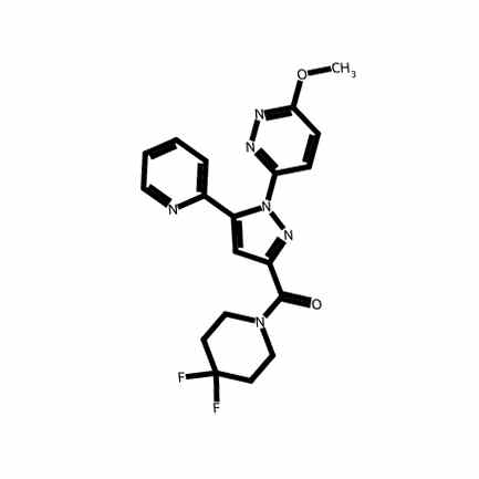 COc1ccc(-n2nc(C(=O)N3CCC(F)(F)CC3)cc2-c2ccccn2)nn1